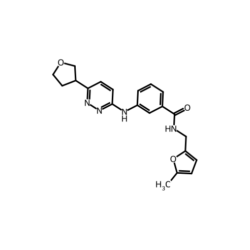 Cc1ccc(CNC(=O)c2cccc(Nc3ccc(C4CCOC4)nn3)c2)o1